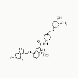 C[C@H]1CN(CCN2CCC(NC(=O)c3cc4c(OCc5coc6cc(F)cc(F)c56)cccc4[nH]3)CC2)CC[C@@H]1O.Cl.Cl